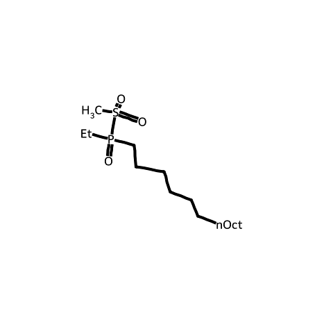 CCCCCCCCCCCCCCP(=O)(CC)S(C)(=O)=O